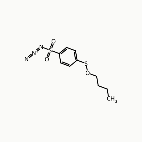 CCCCOSc1ccc(S(=O)(=O)N=[N+]=[N-])cc1